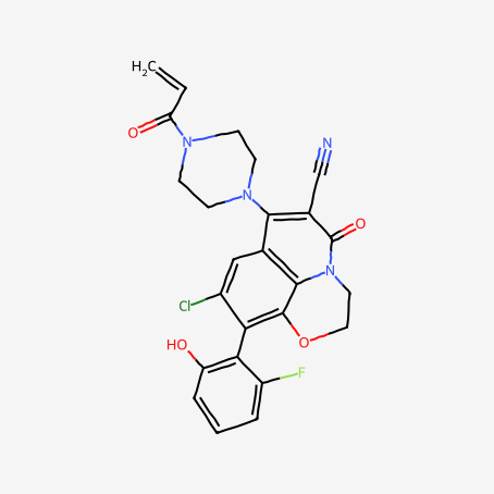 C=CC(=O)N1CCN(c2c(C#N)c(=O)n3c4c(c(-c5c(O)cccc5F)c(Cl)cc24)OCC3)CC1